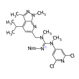 Cc1nn(C)c2nc(CN(C)/C(=N\C#N)N(C)c3cc(Cl)nc(Cl)c3)cc(C(C)C)c12